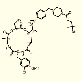 COc1ccc(C[C@H]2NC(=O)/C=C/C[C@@H]([C@H](C)[C@H]3O[C@@H]3c3ccc(CN4CCN(C(=O)CCC(C)(C)S)CC4)cc3)OC(=O)[C@H](CC(C)C)OC(=O)[C@H](C)CNC2=O)cc1Cl